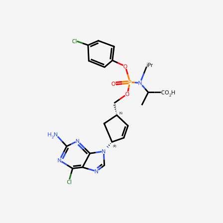 CC(C)N(C(C)C(=O)O)P(=O)(OC[C@@H]1C=C[C@H](n2cnc3c(Cl)nc(N)nc32)C1)Oc1ccc(Cl)cc1